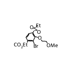 CCOC(=O)c1ccc(S(=O)(=O)CC)c(OCCOC)c1Br